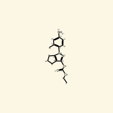 CCOC(=O)Oc1nn(-c2ccc(N)cc2C)c2c1CCC2